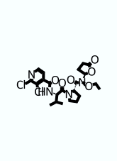 CCON(C(=O)[C@@H]1CCCN1C(=O)[C@@H](NC(=O)c1ccnc(Cl)c1Cl)C(C)C)[C@H]1CCC(=O)O1